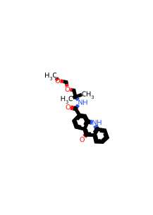 COCOCC(C)(C)NC(=O)c1ccc2c(=O)c3ccccc3[nH]c2c1